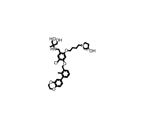 Cc1c(COc2cc(OCCCCN3CC[C@@H](O)C3)c(CNC(C)(CO)CO)cc2Cl)cccc1-c1ccc2c(c1)OCCO2